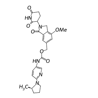 COc1cc(COC(=O)Nc2ccc(N3CCC[C@H]3C)nc2)cc2c1CN(C1CCC(=O)NC1=O)C2=O